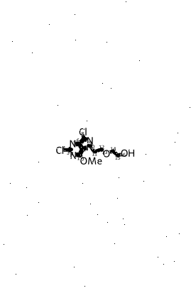 COc1nc(Cl)nc2c(Cl)nn(CCOCCO)c12